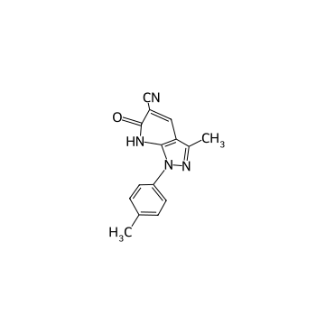 Cc1ccc(-n2nc(C)c3cc(C#N)c(=O)[nH]c32)cc1